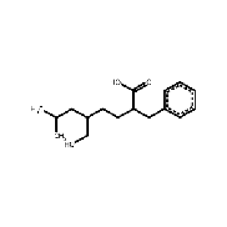 CC(C)CC(CO)CCC(Cc1ccccc1)C(=O)O